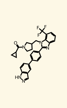 O=C(C1CC1)N1CCC(Cn2c(-c3ccc(-c4ccc5[nH]ncc5c4)cc3)nc3cccc(C(F)(F)F)c32)C1